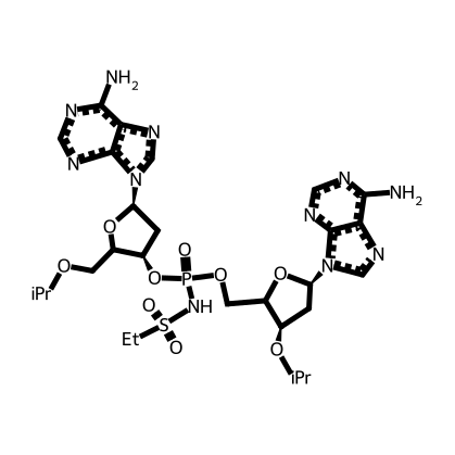 CCS(=O)(=O)NP(=O)(OCC1O[C@@H](n2cnc3c(N)ncnc32)C[C@H]1OC(C)C)O[C@@H]1C[C@H](n2cnc3c(N)ncnc32)OC1COC(C)C